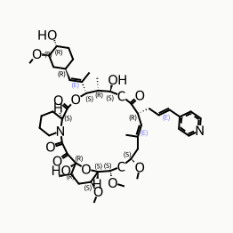 CO[C@H]1C/C(C)=C/[C@@H](C/C=C/c2ccncc2)C(=O)C[C@H](O)[C@@H](C)[C@@H](/C(C)=C/[C@@H]2CC[C@@H](O)[C@H](OC)C2)OC(=O)[C@@H]2CCCCN2C(=O)C(=O)[C@]2(O)O[C@H]([C@@H](OC)C1)[C@@H](OC)C[C@H]2C